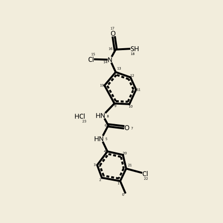 Cc1ccc(NC(=O)Nc2cccc(N(Cl)C(=O)S)c2)cc1Cl.Cl